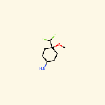 COC1(C(F)F)CCC(N)CC1